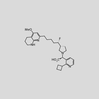 COc1cc(CCCC[C@H](F)[C@@H]2CCN([C@H](C(=O)O)c3cccnc3C3CCC3)C2)nc2c1CCCN2